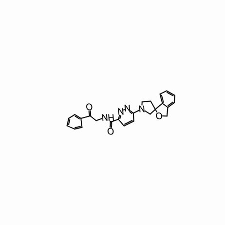 O=C(CNC(=O)c1ccc(N2CCC3(C2)OCc2ccccc23)nn1)c1ccccc1